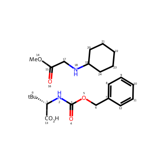 CC(C)(C)[C@H](NC(=O)OCc1ccccc1)C(=O)O.COC(=O)CNC1CCCCC1